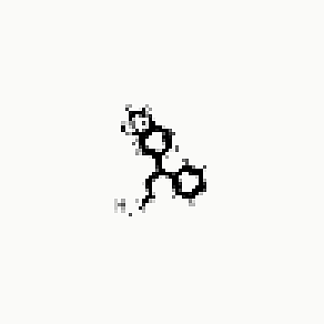 NCCC(c1ccccc1)c1ccc2c(c1)OCO2